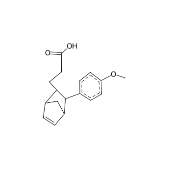 COc1ccc(C2C3C=CC(C3)C2CCC(=O)O)cc1